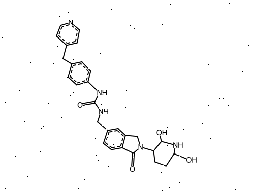 O=C(NCc1ccc2c(c1)CN(C1CCC(O)NC1O)C2=O)Nc1ccc(Cc2ccncc2)cc1